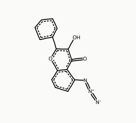 [N-]=[N+]=Nc1cccc2oc(-c3ccccc3)c(O)c(=O)c12